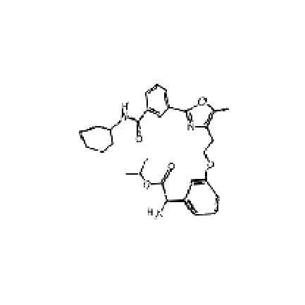 Cc1oc(-c2cccc(C(=O)NC3CCCCC3)c2)nc1CCOc1[c]c(C(N)C(=O)OC(C)C)ccc1